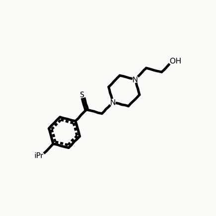 CC(C)c1ccc(C(=S)CN2CCN(CCO)CC2)cc1